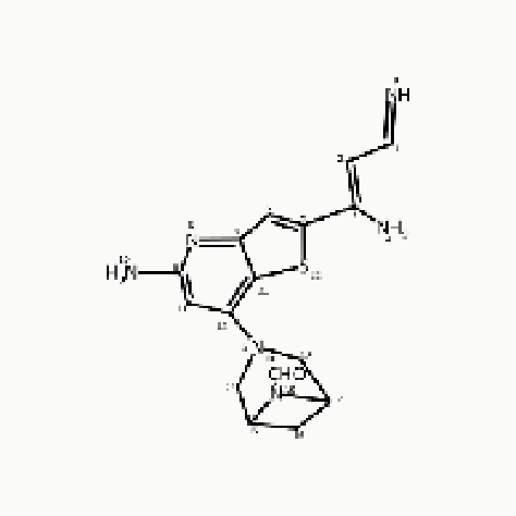 N=C/C=C(\N)c1cc2nc(N)cc(N3CC4CC(C3)N4C=O)c2s1